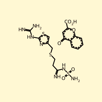 N=C(N)Nc1nc(CSCCC(=N)NS(N)(=O)=O)cs1.O=C(O)c1cc(=O)c2ccccc2o1